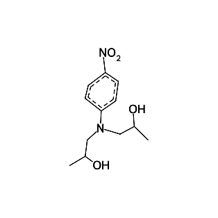 CC(O)CN(CC(C)O)c1ccc([N+](=O)[O-])cc1